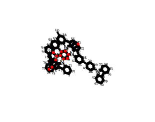 Cc1ccc2c(c1)c1ccccc1n2-c1nc(-n2c3ccccc3c3cc(-c4ccc(-n5c6ccccc6c6ccccc65)cc4)ccc32)c(-n2c3ccccc3c3cc(C)ccc32)c(-c2ccccc2-c2ccc(-c3ccccc3)nc2-c2ccccc2)c1-n1c2ccccc2c2cc(C)ccc21